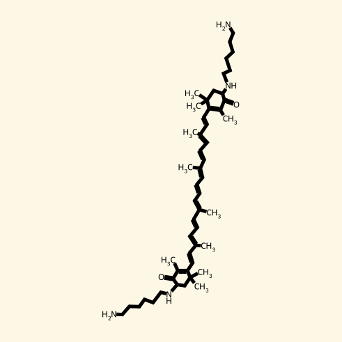 CC1=C(/C=C/C(C)=C/C=C/C(C)=C/C=C/C=C(C)/C=C/C=C(C)/C=C/C2=C(C)C(=O)C(NCCCCCCN)CC2(C)C)C(C)(C)CC(NCCCCCCN)C1=O